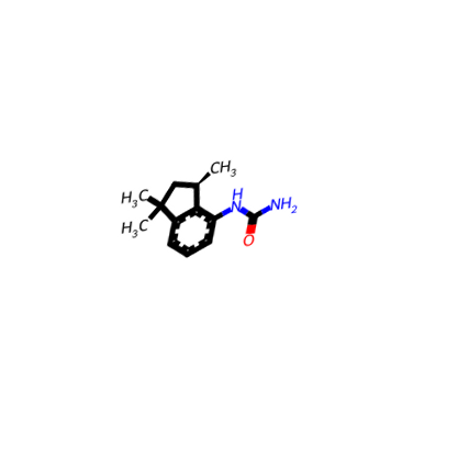 C[C@@H]1CC(C)(C)c2cccc(NC(N)=O)c21